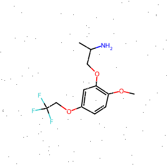 COc1ccc(OCC(F)(F)F)cc1OCC(C)N